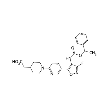 CC(OC(=O)Nc1c(F)noc1-c1ccc(N2CCC(CC(=O)O)CC2)nc1)c1ccccc1